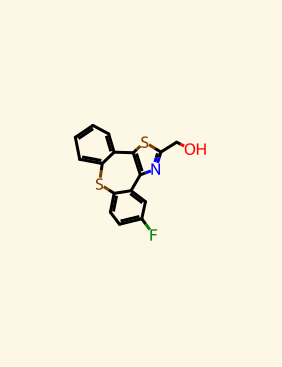 OCc1nc2c(s1)-c1ccccc1Sc1ccc(F)cc1-2